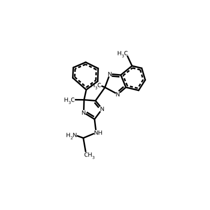 Cc1cccc2c1=NC(C)(C1=NC(NC(C)N)=NC1(C)c1ccccc1)N=2